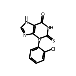 O=c1[nH]c(=S)n(-c2ccccc2Cl)c2nc[nH]c12